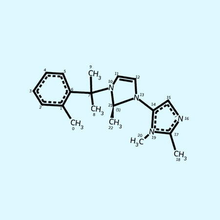 Cc1ccccc1C(C)(C)N1C=CN(c2cnc(C)n2C)[C@H]1C